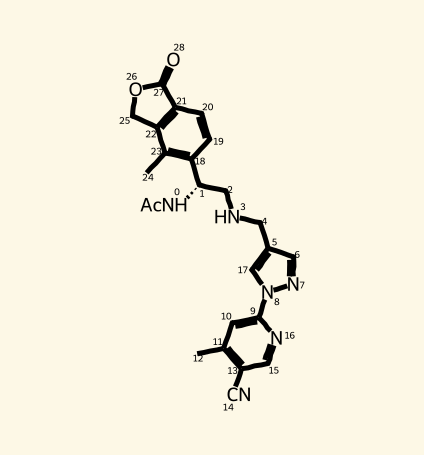 CC(=O)N[C@@H](CNCc1cnn(-c2cc(C)c(C#N)cn2)c1)c1ccc2c(c1C)COC2=O